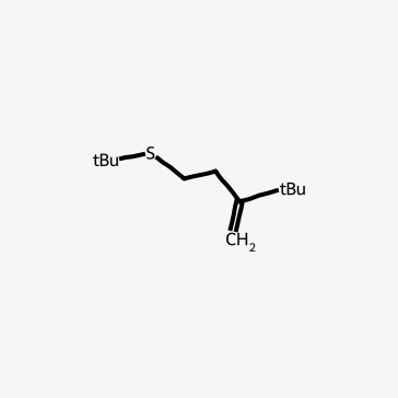 C=C(CCSC(C)(C)C)C(C)(C)C